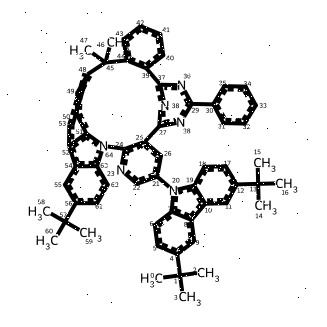 CC(C)(C)c1ccc2c(c1)c1cc(C(C)(C)C)ccc1n2-c1cnc2c(c1)-c1nc(-c3ccccc3)nc(n1)-c1ccccc1C(C)(C)c1ccc3c(c1)c1cc(C(C)(C)C)ccc1n3-2